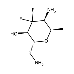 C[C@H]1O[C@H](CN)[C@@H](O)C(F)(F)[C@H]1N